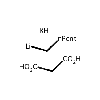 O=C(O)CC(=O)O.[KH].[Li][CH2]CCCCC